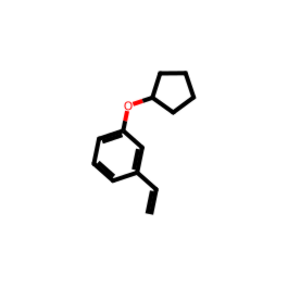 C=Cc1cccc(OC2CCCC2)c1